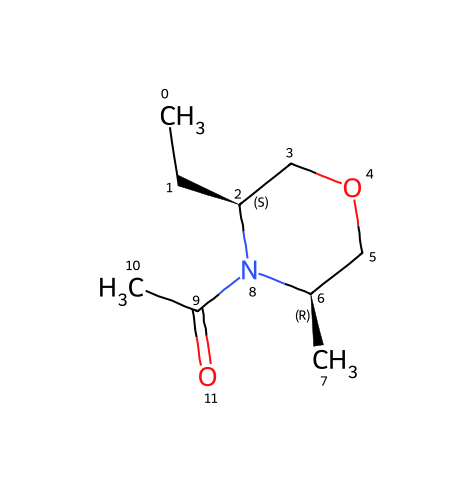 CC[C@H]1COC[C@@H](C)N1C(C)=O